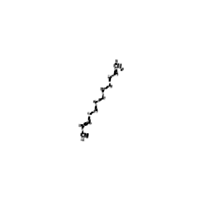 C=CCCCCCCCC=CC#N